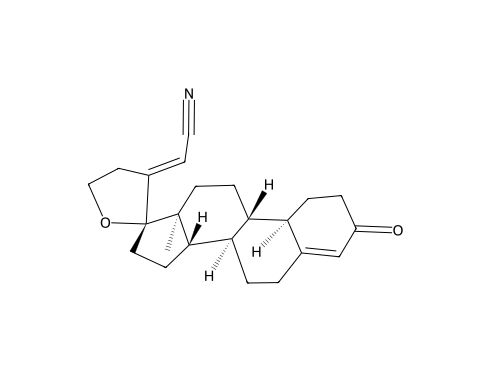 C[C@]12CC[C@H]3[C@@H](CCC4=CC(=O)CC[C@@H]43)[C@@H]1CC[C@]21OCC/C1=C\C#N